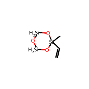 C=C[Si]1(C)O[SiH2]O[SiH2]O1